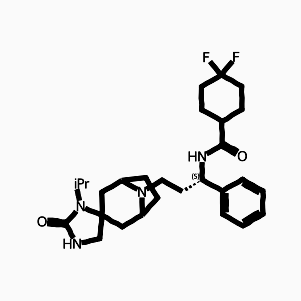 CC(C)N1C(=O)NCC12CC1CCC(C2)N1CC[C@H](NC(=O)C1CCC(F)(F)CC1)c1ccccc1